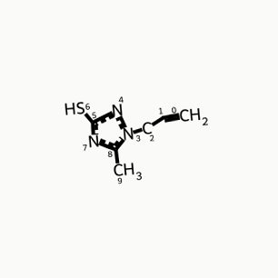 C=CCn1nc(S)nc1C